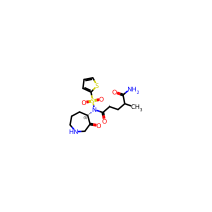 CC(C[CH]C(=O)N([C@H]1CCCNCC1=O)S(=O)(=O)c1cccs1)C(N)=O